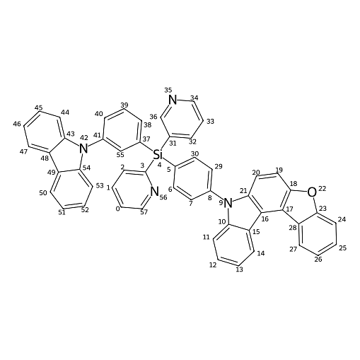 c1ccc([Si](c2ccc(-n3c4ccccc4c4c5c(ccc43)oc3ccccc35)cc2)(c2cccnc2)c2cccc(-n3c4ccccc4c4ccccc43)c2)nc1